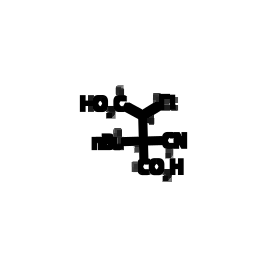 CCCCC(C#N)(C(=O)O)C(CC)C(=O)O